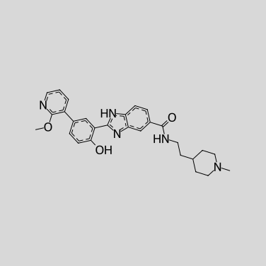 COc1ncccc1-c1ccc(O)c(-c2nc3cc(C(=O)NCCC4CCN(C)CC4)ccc3[nH]2)c1